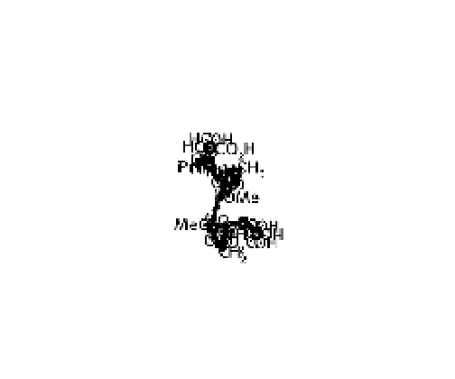 C=C1C[C@H]2C(O)N(C(=O)OCc3ccc(O[C@@H]4O[C@H](C(=O)O)[C@@H](O)[C@H](O)[C@H]4O)cc3)c3cc(OCCCCCOc4cc5c(cc4OC)C(=O)N4CC(=C)C[C@H]4C(O)N5C(=O)OCc4ccc(O[C@@H]5O[C@H](C(=O)O)[C@@H](O)[C@H](O)[C@H]5O)c(C(=O)NC(C)C)c4)c(OC)cc3C(=O)N2C1